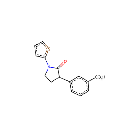 O=C(O)c1cccc(C2CCN(c3cccs3)C2=O)c1